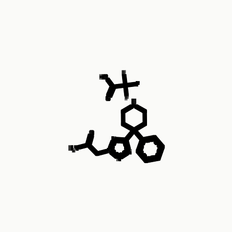 NC(=O)Cn1nnc(C2(c3ccccc3)CCNCC2)n1.O=C(O)C(F)(F)F